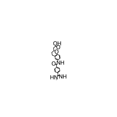 CNC(=N)c1ccc(C(=O)Nc2ccc3c(c2)CCC(CC(=O)O)O3)cc1